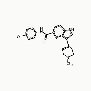 CN1CC=C(c2c[nH]c3ccc(C(=O)Nc4cc[n+]([O-])cc4)nc23)CC1